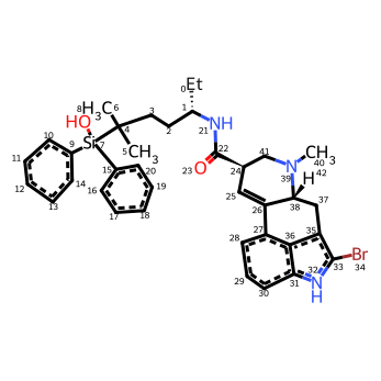 CC[C@@H](CCC(C)(C)[Si](O)(c1ccccc1)c1ccccc1)NC(=O)[C@@H]1C=C2c3cccc4[nH]c(Br)c(c34)C[C@H]2N(C)C1